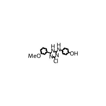 COc1cccc(C2N=C(Cl)N=C(Nc3ccc(O)cc3)N2)c1